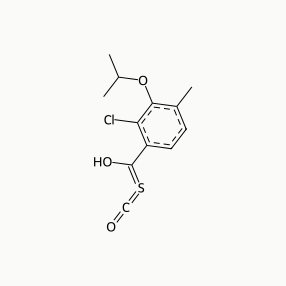 Cc1ccc(C(O)=S=C=O)c(Cl)c1OC(C)C